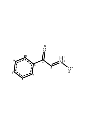 O=C(C=[NH+][O-])c1ccccc1